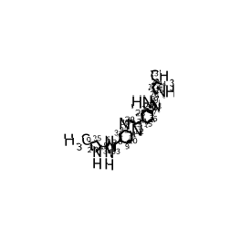 C[C@H]1CN[C@H](c2nc(-c3ccc4nc(-c5ccc6nc([C@@H]7C[C@@H](C)CN7)[nH]c6c5)cnc4c3)c[nH]2)C1